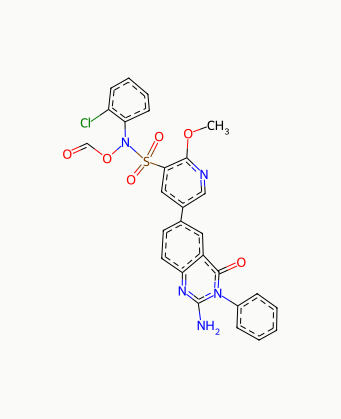 COc1ncc(-c2ccc3nc(N)n(-c4ccccc4)c(=O)c3c2)cc1S(=O)(=O)N(OC=O)c1ccccc1Cl